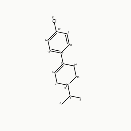 CC(C)N1CC=C(c2ccc(Cl)cc2)CC1